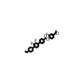 C=CC1CCC(c2ccc(-c3ccc(C(=O)Oc4ccc(C5CO5)cc4F)cc3)c(F)c2F)CC1